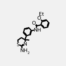 CCOc1ccccc1C(=O)Nc1cccc(C2(C)CCSC(N)=N2)c1